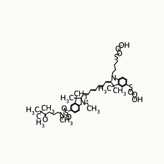 CC[N+]1=C(/C=C/C=C/C=C/C=C2/N(CCCCSOOO)c3ccc(SOOO)cc3C2(C)C)C(C)(C)c2cc(S(=O)(=O)N(C)CCCC(=O)C(C)(C)C)ccc21